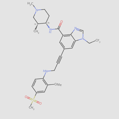 COc1cc(S(C)(=O)=O)ccc1NCC#Cc1cc(C(=O)N[C@@H]2CCN(C)C[C@@H]2C)c2ncn(CC(F)(F)F)c2c1